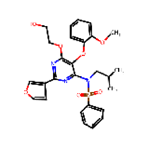 COc1ccccc1Oc1c(OCCO)nc(-c2ccoc2)nc1N(CC(C)C)S(=O)(=O)c1ccccc1